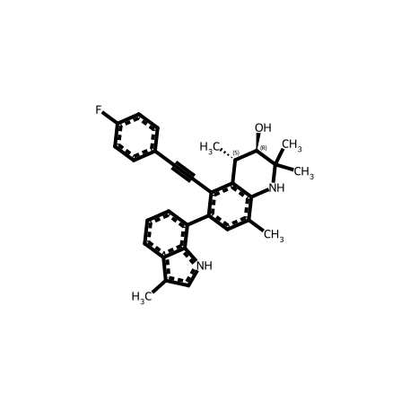 Cc1cc(-c2cccc3c(C)c[nH]c23)c(C#Cc2ccc(F)cc2)c2c1NC(C)(C)[C@H](O)[C@H]2C